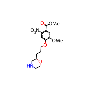 COC(=O)c1cc(OC)c(OCCCC2CNCCO2)cc1[N+](=O)[O-]